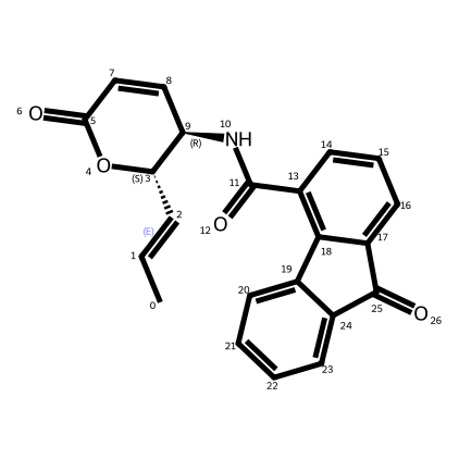 C/C=C/[C@@H]1OC(=O)C=C[C@H]1NC(=O)c1cccc2c1-c1ccccc1C2=O